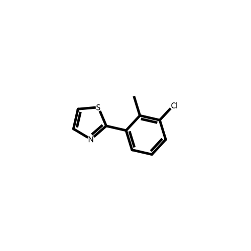 Cc1c(Cl)cccc1-c1nccs1